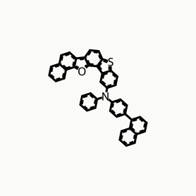 c1ccc(N(c2ccc(-c3cccc4ccccc34)cc2)c2ccc3sc4ccc5c6ccc7ccccc7c6oc5c4c3c2)cc1